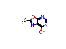 Cc1nc2c(O)ncnc2o1